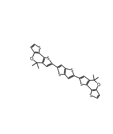 CC1(C)Oc2ccsc2-c2sc(-c3cc4sc(-c5cc6c(s5)-c5sccc5OC6(C)C)cc4s3)cc21